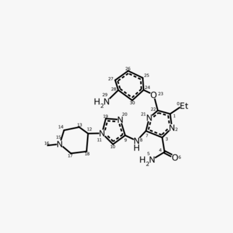 CCc1nc(C(N)=O)c(Nc2cn(C3CCN(C)CC3)cn2)nc1Oc1cccc(N)c1